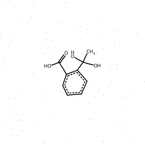 CC(O)(O)c1ccccc1C(=O)O